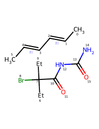 C/C=C/C=C/C.CCC(Br)(CC)C(=O)NC(N)=O